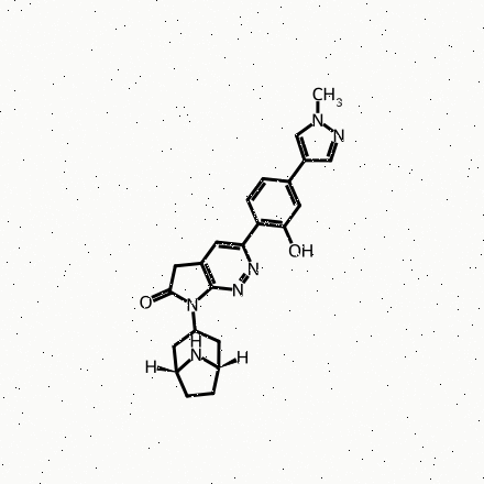 Cn1cc(-c2ccc(-c3cc4c(nn3)N(C3C[C@H]5CC[C@@H](C3)N5)C(=O)C4)c(O)c2)cn1